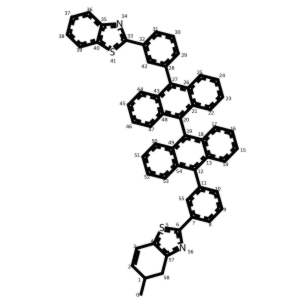 CC1C=Cc2sc(-c3cccc(-c4c5ccccc5c(-c5c6ccccc6c(-c6cccc(-c7nc8ccccc8s7)c6)c6ccccc56)c5ccccc45)c3)nc2C1